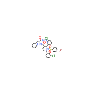 NC(=O)[C@H](Cc1ccccc1)NC(=O)C1=CCC(c2cccc(Cl)c2)N(S(=O)(=O)c2ccc(Br)cc2)C1c1cccc(Cl)c1